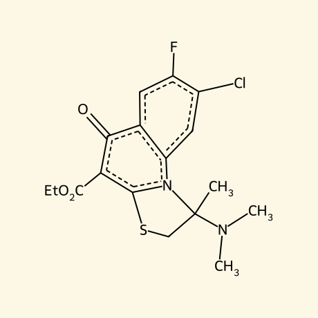 CCOC(=O)c1c2n(c3cc(Cl)c(F)cc3c1=O)C(C)(N(C)C)CS2